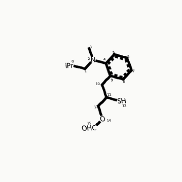 CC(C)CN(C)c1ccccc1CC(S)COC=O